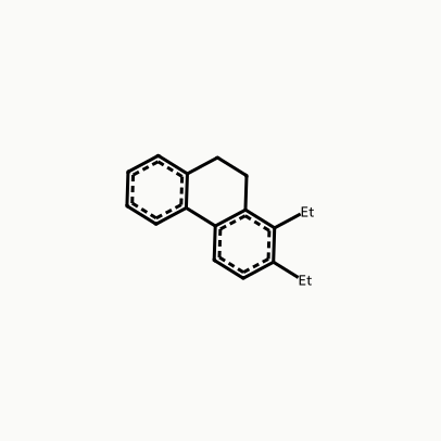 CCc1ccc2c(c1CC)CCc1ccccc1-2